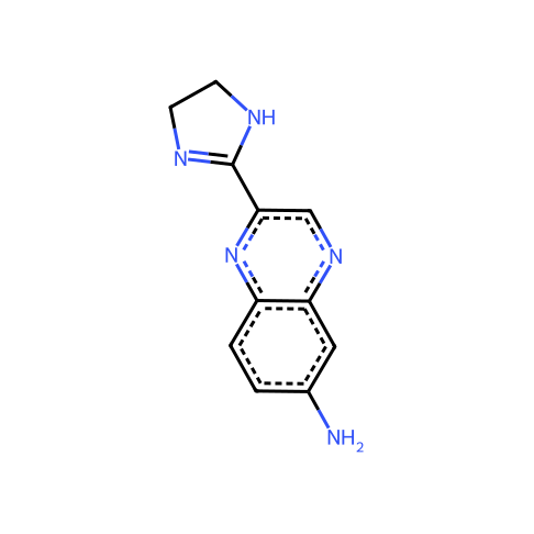 Nc1ccc2nc(C3=NCCN3)cnc2c1